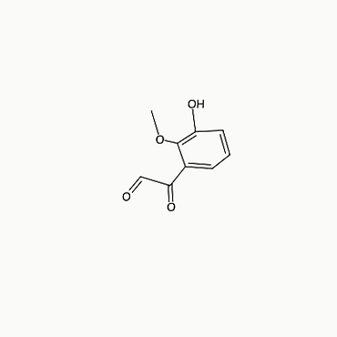 COc1c(O)cccc1C(=O)C=O